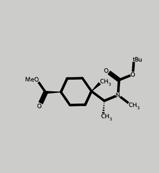 COC(=O)[C@H]1CC[C@](C)([C@@H](C)N(C)C(=O)OC(C)(C)C)CC1